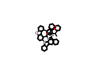 CC1c2ccccc2-c2cc(-c3cccc4oc5ccc(-n6c7ccccc7c7ccccc76)c(-c6nc(-c7ccccc7)nc(-c7ccccc7)n6)c5c34)ccc21